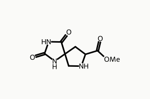 COC(=O)C1CC2(CN1)NC(=O)NC2=O